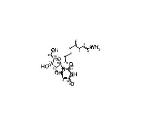 CC(CC=CN)CCCC[C@@]1(n2ccc(=O)[nH]c2=O)O[C@H](CO)[C@@H](O)[C@H]1O